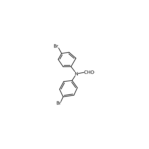 O=[C]N(c1ccc(Br)cc1)c1ccc(Br)cc1